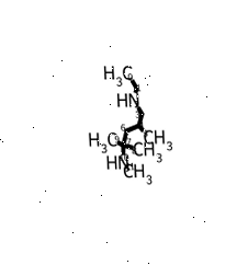 CCNCC(C)CC(C)(C)NC